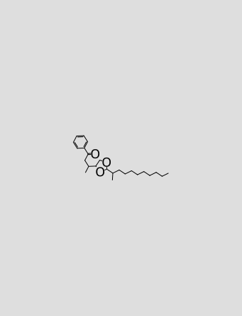 CCCCCCCCCC(C)C1OCC(C(C)CC(=O)c2ccccc2)O1